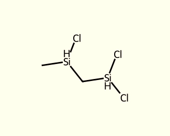 C[SiH](Cl)C[SiH](Cl)Cl